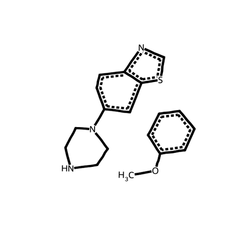 COc1ccccc1.c1nc2ccc(N3CCNCC3)cc2s1